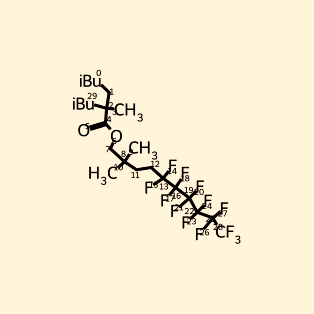 CCC(C)CC(C)(C(=O)OCC(C)(C)CCC(F)(F)C(F)(F)C(F)(F)C(F)(F)C(F)(F)C(F)(F)F)C(C)CC